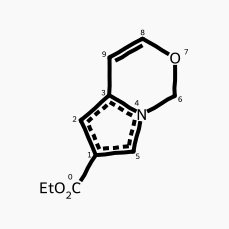 CCOC(=O)c1cc2n(c1)COC=C2